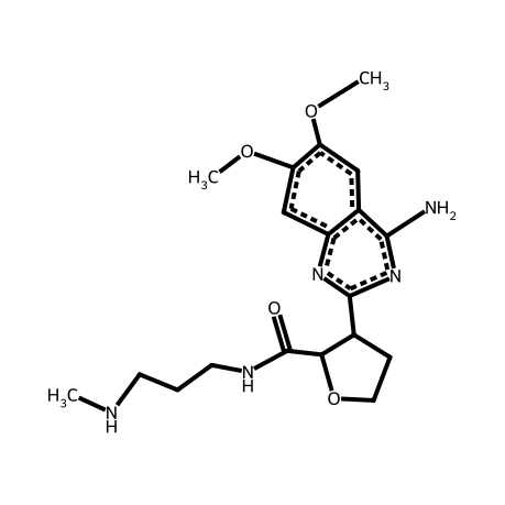 CNCCCNC(=O)C1OCCC1c1nc(N)c2cc(OC)c(OC)cc2n1